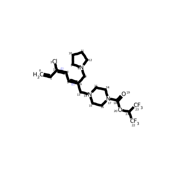 C=C/C(Cl)=C\C=C(/CN1CCCC1)CN1CCN(C(=O)OC(C(F)(F)F)C(F)(F)F)CC1